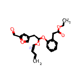 C=C/C=C\OC(Cc1coc(C=O)c1)Oc1ccccc1CC(=O)OCC